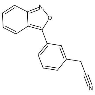 N#CCc1cccc(-c2onc3ccccc23)c1